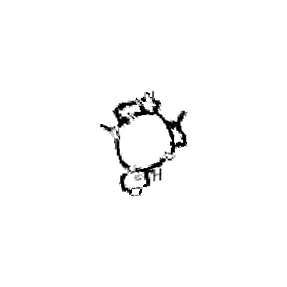 Cc1ccc2cc1-c1cnn3ccc(nc13)N(C)CCN1CCOC[C@H]1CO2